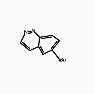 CCC(C)c1ccc2nnccc2c1